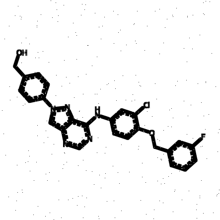 OCc1ccc(-n2cc3ncnc(Nc4ccc(OCc5cccc(F)c5)c(Cl)c4)c3n2)cc1